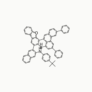 CC(C)(C)c1ccc(Nc2cc3ccccc3cc2-c2cc3c(oc4ccccc43)c3c2Bc2cc(-c4ccccc4)cc4c2c-3cc2ccc(-c3ccccc3)cc24)cc1